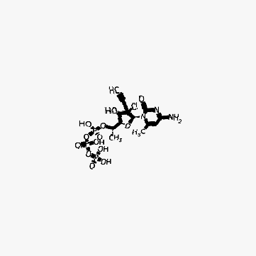 C#C[C@@]1(Cl)C(O)[C@@H]([C@H](C)OP(=O)(O)OP(=O)(O)OP(=O)(O)O)O[C@H]1n1c(C)cc(N)nc1=O